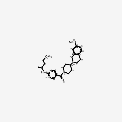 COCCC(C)Nc1ncc(C(=O)N2CCC(N3CCc4ccc(OC)cc4C3)CC2)cn1